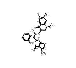 Cc1ccc(C(=O)N(CCCN)CC(C)Cc2nc3onc(C)c3c(=O)n2Cc2ccccc2)cc1F